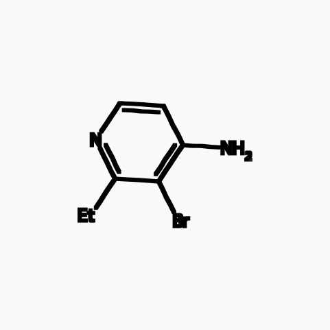 CCc1nccc(N)c1Br